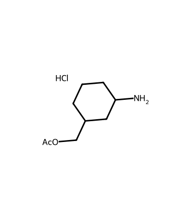 CC(=O)OCC1CCCC(N)C1.Cl